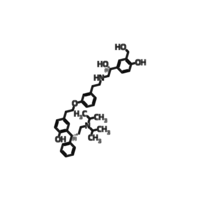 CC(C)N(CC[C@H](c1ccccc1)c1cc(CCOc2cccc(CCNC[C@H](O)c3ccc(O)c(CO)c3)c2)ccc1O)C(C)C